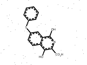 O=C(O)c1nc(O)c2cc(Sc3ccccc3)ccc2c1O